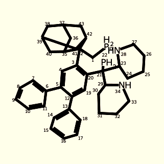 PCC1(c2cc(-c3ccccc3)c(-c3ccccc3)cc2C(P)(C2CCCCN2)C2CCCCN2)C2CC3CC(C2)CC1C3